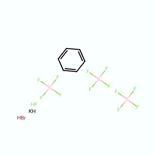 Br.F.F[B-](F)(F)F.F[B-](F)(F)F.F[B-](F)(F)F.[KH].c1ccccc1